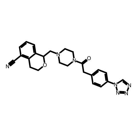 N#Cc1cccc2c1CCOC2CN1CCN(C(=O)Cc2ccc(-n3cnnn3)cc2)CC1